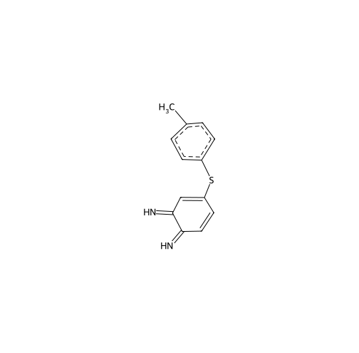 Cc1ccc(SC2=CC(=N)C(=N)C=C2)cc1